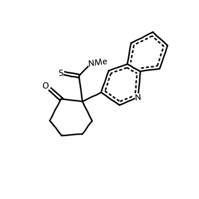 CNC(=S)C1(c2cnc3ccccc3c2)CCCCC1=O